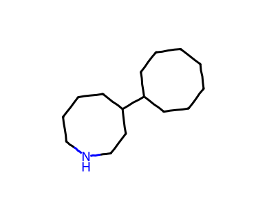 C1CCCC(C2CCCCNCC2)CCC1